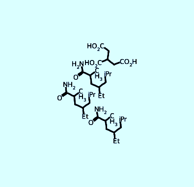 CCC(CC(C)C)CC(C)C(N)=O.CCC(CC(C)C)CC(C)C(N)=O.CCC(CC(C)C)CC(C)C(N)=O.O=C(O)CC(CC(=O)O)C(=O)O